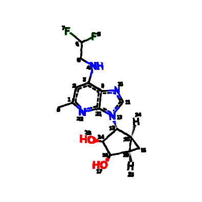 Cc1cc(NCC(F)F)c2ncn([C@H]3[C@H](O)[C@H](O)[C@@H]4C[C@@H]43)c2n1